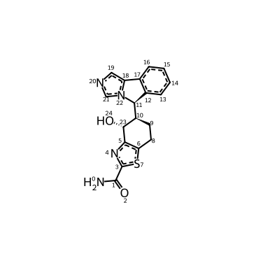 NC(=O)c1nc2c(s1)CC[C@H]([C@@H]1c3ccccc3-c3cncn31)[C@H]2O